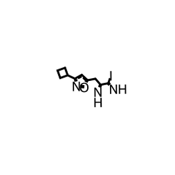 N=C(I)C(=N)Cc1cc(C2CCC2)no1